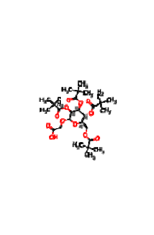 CC(C)(C)C(=O)OC[C@H]1OC(OCC(=O)O)[C@@H](OC(=O)C(C)(C)C)[C@@H](OC(=O)C(C)(C)C)[C@@H]1OC(=O)C(C)(C)C